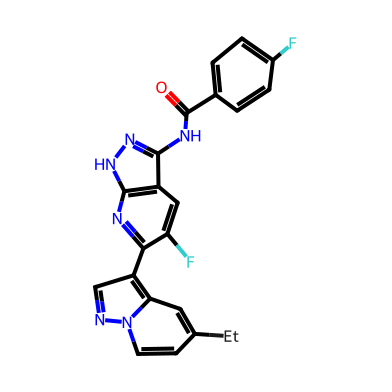 CCc1ccn2ncc(-c3nc4[nH]nc(NC(=O)c5ccc(F)cc5)c4cc3F)c2c1